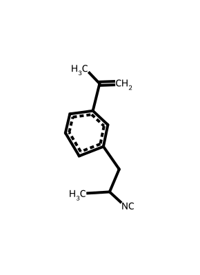 [C-]#[N+]C(C)Cc1cccc(C(=C)C)c1